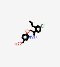 CCCc1cc(Cl)ccc1C1CNc2cc(CO)ccc2OC1